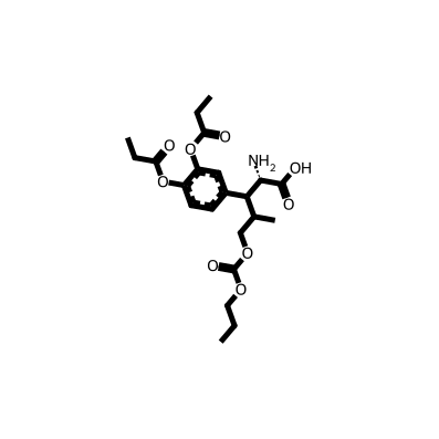 CCCOC(=O)OCC(C)C(c1ccc(OC(=O)CC)c(OC(=O)CC)c1)[C@H](N)C(=O)O